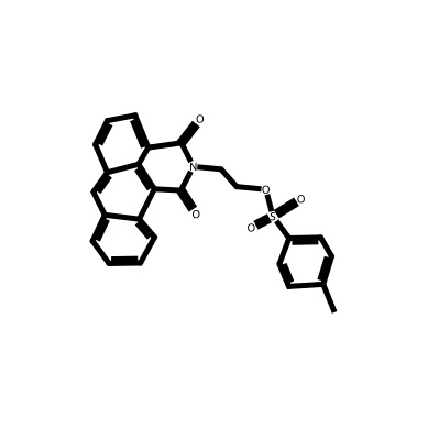 Cc1ccc(S(=O)(=O)OCCN2C(=O)c3cccc4cc5ccccc5c(c34)C2=O)cc1